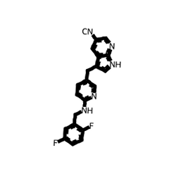 [C-]#[N+]c1cnc2[nH]cc(Cc3ccc(NCc4cc(F)ccc4F)nc3)c2c1